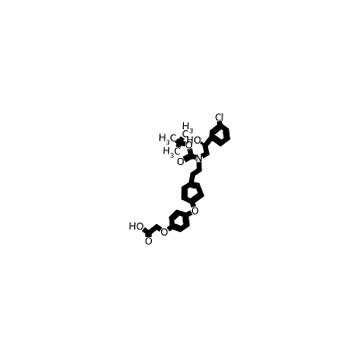 CC(C)(C)OC(=O)N(CCc1ccc(Oc2ccc(OCC(=O)O)cc2)cc1)C[C@@H](O)c1cccc(Cl)c1